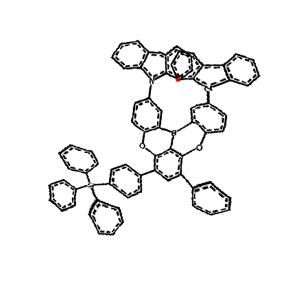 c1ccc(-c2cc(-c3ccc([Si](c4ccccc4)(c4ccccc4)c4ccccc4)cc3)c3c4c2Oc2ccc(-n5c6ccccc6c6ccccc65)cc2B4c2cc(-n4c5ccccc5c5ccccc54)ccc2O3)cc1